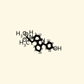 COC(=O)C1(C)Cc2c(ccc3nc(-c4ccc(O)cc4)c4c(c23)CCCC4)N1